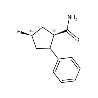 NC(=O)[C@@H]1C[C@H](F)CC1c1ccccc1